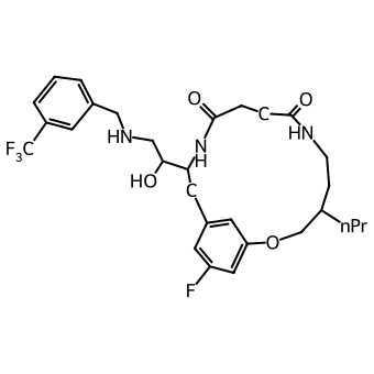 CCCC1CCNC(=O)CCC(=O)NC(C(O)CNCc2cccc(C(F)(F)F)c2)Cc2cc(F)cc(c2)OC1